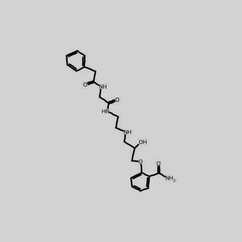 NC(=O)c1ccccc1OCC(O)CNCCNC(=O)CNC(=O)Cc1ccccc1